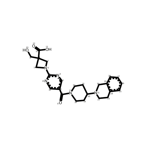 O=C(c1cnc(N2CC(CO)(C(=O)O)C2)nc1)N1CCC(N2CCc3ccccc3C2)CC1